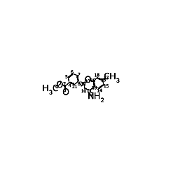 COC(=O)c1cccc([C@H]2CC(N)c3ccc(C)cc3O2)c1